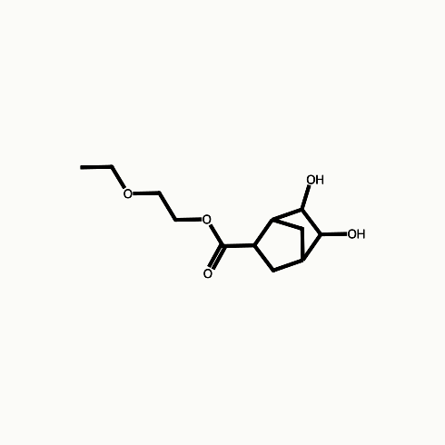 CCOCCOC(=O)C1CC2CC1C(O)C2O